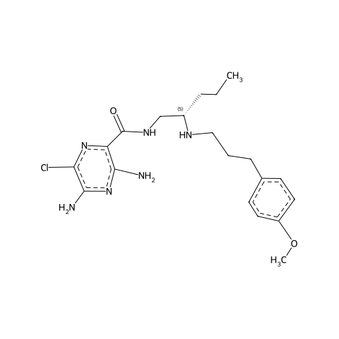 CCC[C@@H](CNC(=O)c1nc(Cl)c(N)nc1N)NCCCc1ccc(OC)cc1